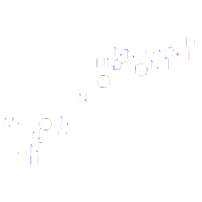 COc1ccc(C(=O)N2CCC3(CCN(CCc4ccc(-c5cc6c(-c7ccc(F)c(NC(=O)N8C[C@H](CC(C)C)[C@@H](O)C8)c7C)ncnc6[nH]5)cc4)CC3)CC2)cc1N1CCC(=O)NC1=O